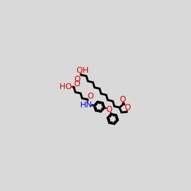 O=C(O)CCCC(=O)Nc1ccc(Oc2ccccc2)cc1.O=C(O)CCCCCCCCCCC1CCOC1=O